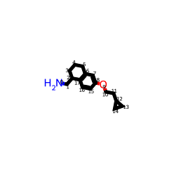 NCC1CCCc2cc(OCCC3CC3)ccc21